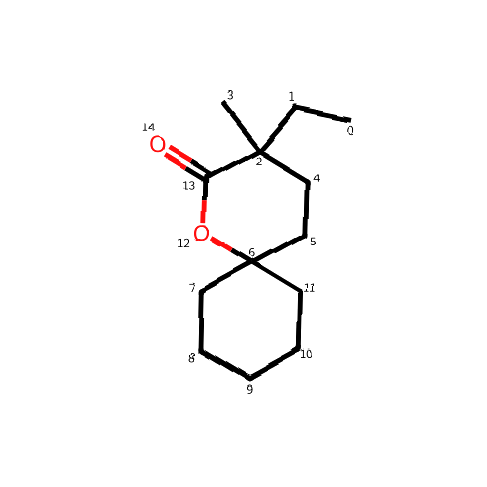 CCC1(C)CCC2(CCCCC2)OC1=O